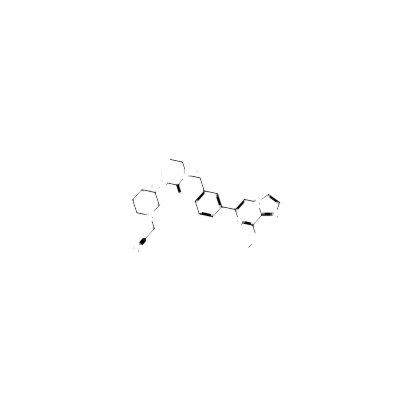 CCN(C(=O)N[C@@H]1CCCN(CC#N)C1)[C@H](C)c1cccc(-c2cn3ccnc3c(OC)n2)c1